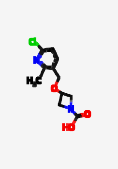 Cc1nc(Cl)ccc1COC1CN(C(=O)O)C1